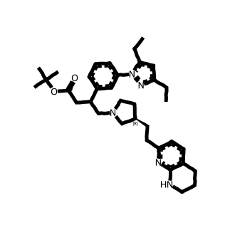 CCc1cc(CC)n(-c2cccc(C(CC(=O)OC(C)(C)C)CN3CC[C@@H](CCc4ccc5c(n4)NCCC5)C3)c2)n1